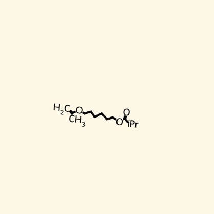 C=C(C)OCCCCCCOC(=O)C(C)C